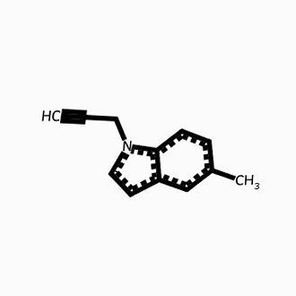 C#CCn1ccc2cc(C)ccc21